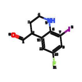 O=CC1CCNc2c(I)cc(F)cc21